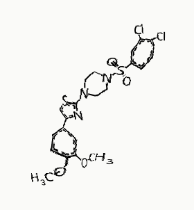 COc1ccc(-c2csc(N3CCN(S(=O)(=O)c4ccc(Cl)c(Cl)c4)CC3)n2)cc1OC